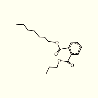 CCCCCCCOC(=O)c1ccccc1C(=O)OCCC